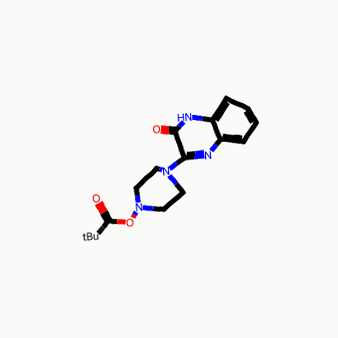 CC(C)(C)C(=O)ON1CCN(c2nc3ccccc3[nH]c2=O)CC1